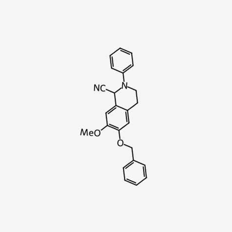 COc1cc2c(cc1OCc1ccccc1)CCN(c1ccccc1)C2C#N